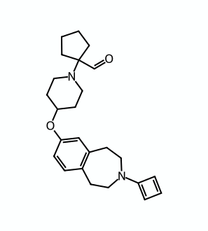 O=CC1(N2CCC(Oc3ccc4c(c3)CCN(C3=CC=C3)CC4)CC2)CCCC1